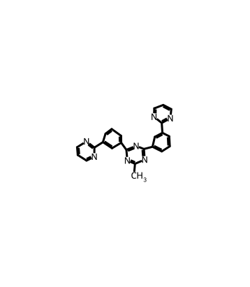 Cc1nc(-c2cccc(-c3ncccn3)c2)nc(-c2cccc(-c3ncccn3)c2)n1